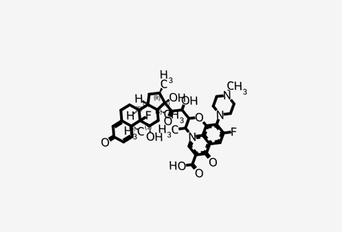 CC1C(C(O)C(=O)[C@@]2(O)[C@H](C)C[C@H]3[C@@H]4CCC5=CC(=O)C=C[C@]5(C)C4(F)[C@@H](O)C[C@@]32C)Oc2c(N3CCN(C)CC3)c(F)cc3c(=O)c(C(=O)O)cn1c23